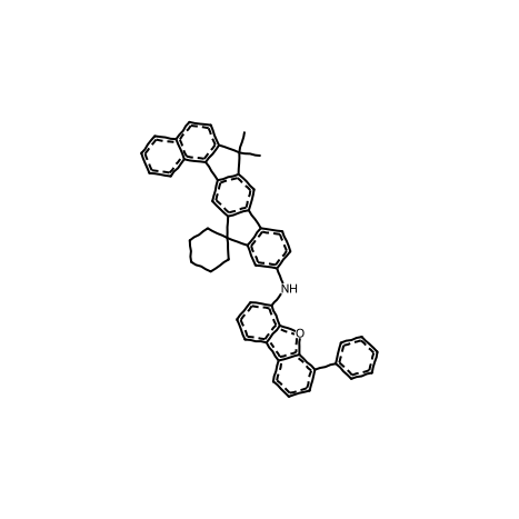 CC1(C)c2cc3c(cc2-c2c1ccc1ccccc21)C1(CCCCC1)c1cc(Nc2cccc4c2oc2c(-c5ccccc5)cccc24)ccc1-3